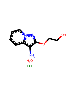 Cl.Nc1c(OCCO)nn2ccccc12.O